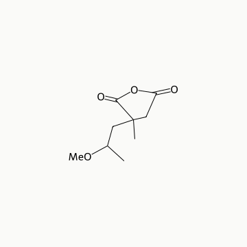 COC(C)CC1(C)CC(=O)OC1=O